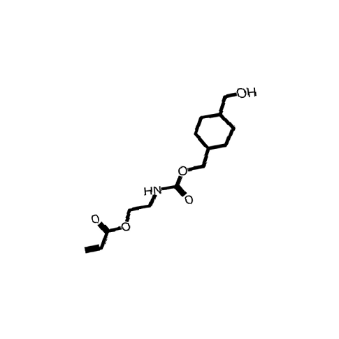 C=CC(=O)OCCNC(=O)OCC1CCC(CO)CC1